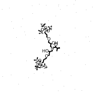 C=C(C)C(=O)N(CC(O)COCCC[Si](O[Si](C)(C)C)(O[Si](C)(C)C)O[Si](C)(C)C)CC(O)COCCC[Si](O[Si](C)(C)C)(O[Si](C)(C)C)O[Si](C)(C)C